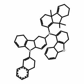 CC12CC=CC(N(C3=CCCC4=C3C3C=CC=CC3O4)C3C=CC4C(C3)C3=C(C=CCC3)N4C3=Cc4ccccc4CC3)=C1C(C)(C)C1CCCC=C12